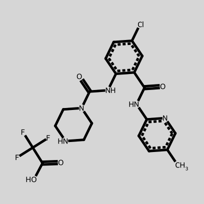 Cc1ccc(NC(=O)c2cc(Cl)ccc2NC(=O)N2CCNCC2)nc1.O=C(O)C(F)(F)F